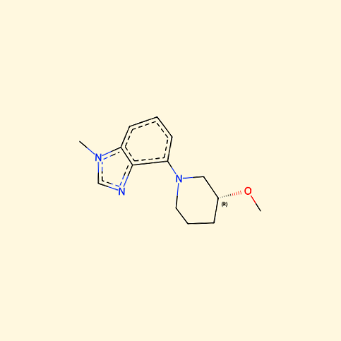 CO[C@@H]1CCCN(c2cccc3c2ncn3C)C1